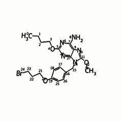 CCCCOc1nc(N)c2nc(OC)n(Cc3ccc(OCCCBr)cc3)c2n1